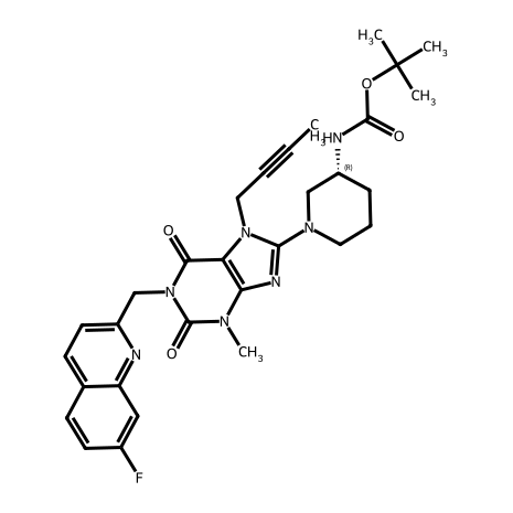 CC#CCn1c(N2CCC[C@@H](NC(=O)OC(C)(C)C)C2)nc2c1c(=O)n(Cc1ccc3ccc(F)cc3n1)c(=O)n2C